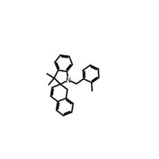 Cc1ccccc1CN1c2ccccc2C(C)(C)C12C=Cc1ccccc1C2